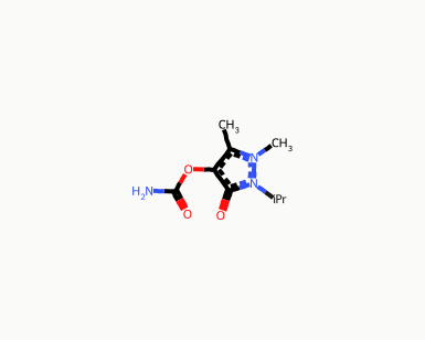 Cc1c(OC(N)=O)c(=O)n(C(C)C)n1C